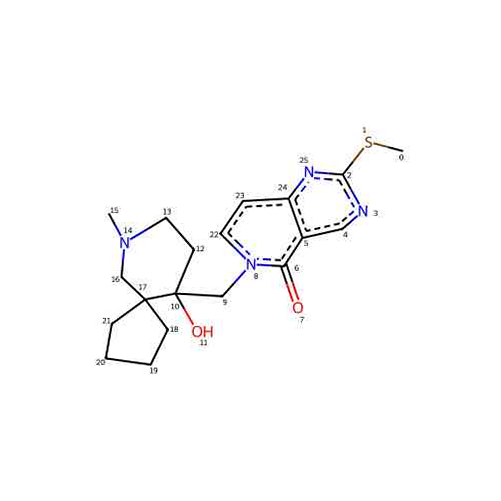 CSc1ncc2c(=O)n(CC3(O)CCN(C)CC34CCCC4)ccc2n1